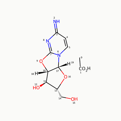 CC(=O)O.N=c1ccn2c(n1)O[C@H]1[C@H](O)[C@@H](CO)O[C@H]12